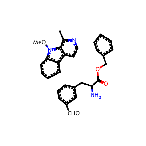 COn1c2ccccc2c2ccnc(C)c21.NC(Cc1cccc(C=O)c1)C(=O)OCc1ccccc1